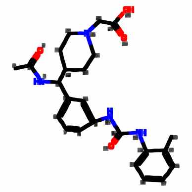 CC(=O)NC(c1cccc(NC(=O)Nc2ccccc2C)c1)C1CCN(CC(=O)O)CC1